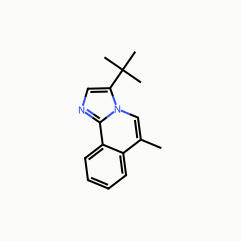 Cc1cn2c(C(C)(C)C)cnc2c2ccccc12